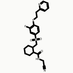 N#CCNC(=O)C1CCCCC1CS(=O)(=O)c1ccc(SCCc2ccccn2)c(F)c1